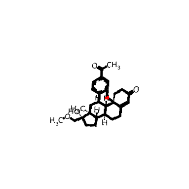 COC[C@]1(O)CC[C@H]2[C@@H]3CCC4=CC(=O)CC[C@@]45Cc4cc(C(C)=O)ccc4[C@@H](C[C@@]21C)[C@@H]35